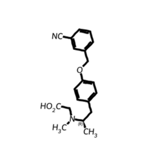 C[C@H](Cc1ccc(OCc2cccc(C#N)c2)cc1)N(C)CC(=O)O